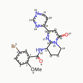 COc1ccc(Br)cc1C(=O)NC1CCCn2c1nc(-c1ccncn1)cc2=O